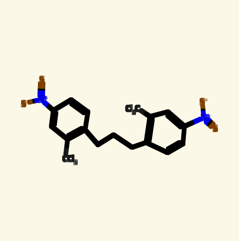 S=[N+]([S-])c1ccc(CCCc2ccc([N+](=S)[S-])cc2C(Cl)(Cl)Cl)c(C(Cl)(Cl)Cl)c1